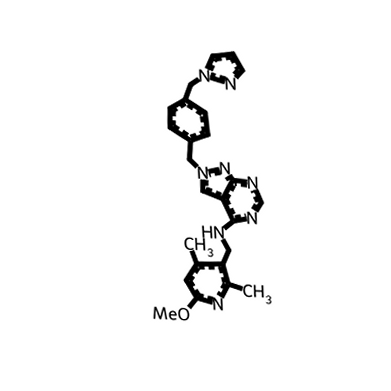 COc1cc(C)c(CNc2ncnc3nn(Cc4ccc(Cn5cccn5)cc4)cc23)c(C)n1